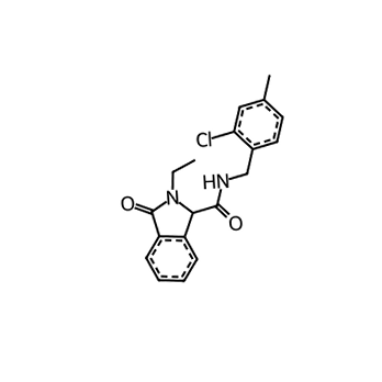 CCN1C(=O)c2ccccc2C1C(=O)NCc1ccc(C)cc1Cl